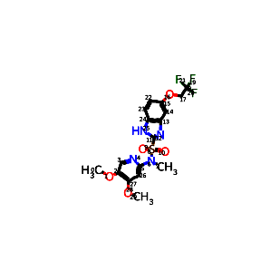 COc1cnc(N(C)S(=O)(=O)c2nc3cc(OCC(F)(F)F)ccc3[nH]2)cc1OC